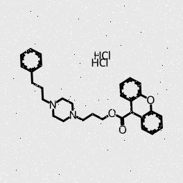 Cl.Cl.O=C(OCCCN1CCN(CCCc2ccccc2)CC1)C1c2ccccc2Oc2ccccc21